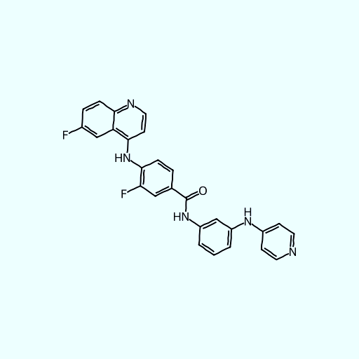 O=C(Nc1cccc(Nc2ccncc2)c1)c1ccc(Nc2ccnc3ccc(F)cc23)c(F)c1